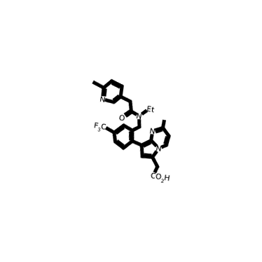 CCN(Cc1cc(C(F)(F)F)ccc1-c1cc(CC(=O)O)n2ccc(C)nc12)C(=O)Cc1ccc(C)nc1